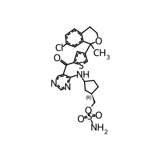 CC1(c2csc(C(=O)c3cncnc3NC3CC[C@@H](COS(N)(=O)=O)C3)c2)OCCc2ccc(Cl)cc21